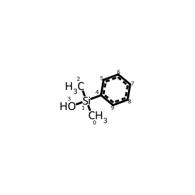 C[Si](C)(O)c1ccccc1